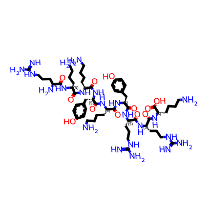 N=C(N)NCCC[C@H](NC(=O)[C@H](CCCNC(=N)N)NC(=O)[C@H](Cc1ccc(O)cc1)NC(=O)[C@H](CCCCN)NC(=O)[C@H](Cc1ccc(O)cc1)NC(=O)[C@H](CCCCN)NC(=O)[C@H](CCCCN)NC(=O)[C@@H](N)CCCNC(=N)N)C(=O)N[C@@H](CCCCN)C(=O)O